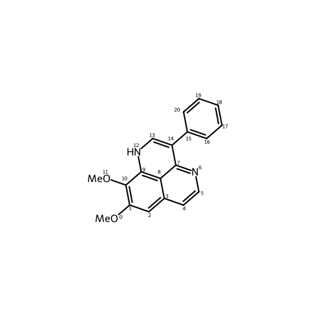 COc1cc2ccnc3c2c(c1OC)NC=C3c1ccccc1